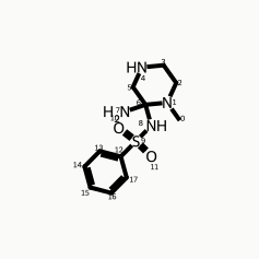 CN1CCNCC1(N)NS(=O)(=O)c1ccccc1